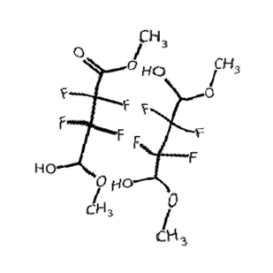 COC(=O)C(F)(F)C(F)(F)C(O)OC.COC(O)C(F)(F)C(F)(F)C(O)OC